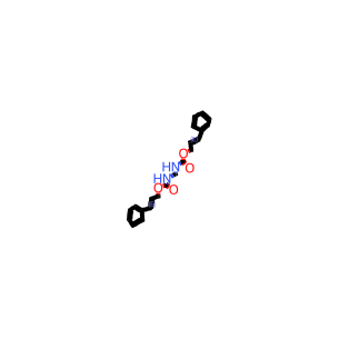 O=C(NCNC(=O)OC/C=C/c1ccccc1)OC/C=C/c1ccccc1